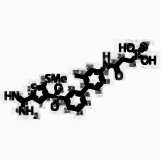 CSc1sc(C(=N)N)cc1S(=O)(=O)c1cccc(-c2ccc(NC(=O)CCP(=O)(O)O)cc2C)c1